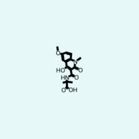 COc1ccc2c(c1)c(O)c(C(=O)NC(C)(C)C(=O)O)c(=O)n2C